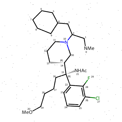 CNCC(CC1CCCCC1)N1CCC[C@@H]([C@@](CCCCOC)(NC(C)=O)c2cccc(Cl)c2F)C1